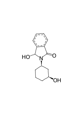 O=C1c2ccccc2C(O)N1[C@@H]1CCC[C@H](O)C1